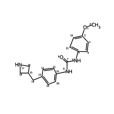 COc1ccc(NC(=O)Nc2ccc(CC3CNC3)cc2)cc1